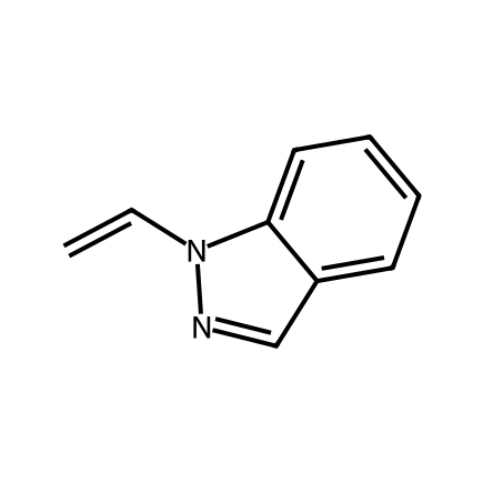 C=Cn1ncc2ccccc21